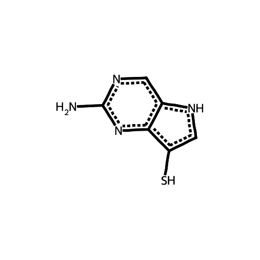 Nc1ncc2[nH]cc(S)c2n1